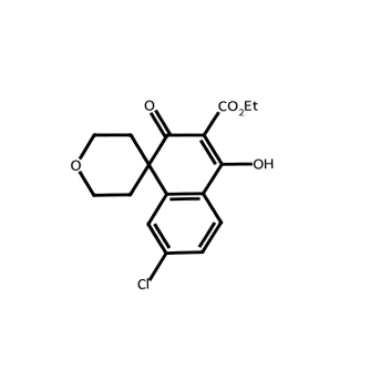 CCOC(=O)C1=C(O)c2ccc(Cl)cc2C2(CCOCC2)C1=O